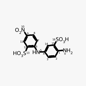 Nc1ccc(Nc2ccc([N+](=O)[O-])cc2S(=O)(=O)O)cc1S(=O)(=O)O